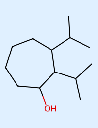 CC(C)C1CCCCC(O)C1C(C)C